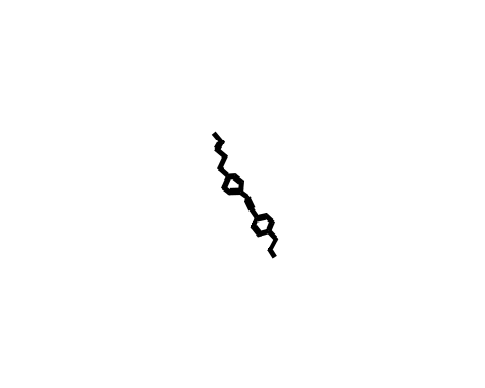 CC=CCCc1ccc(C#Cc2ccc(CCC)cc2)cc1